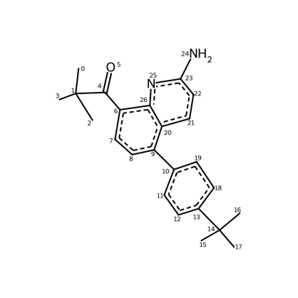 CC(C)(C)C(=O)c1ccc(-c2ccc(C(C)(C)C)cc2)c2ccc(N)nc12